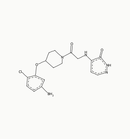 Bc1ccc(Cl)c(OC2CCN(C(=O)CNc3ccn[nH]c3=O)CC2)c1